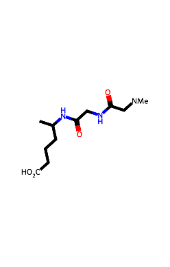 CNCC(=O)NCC(=O)NC(C)CCCC(=O)O